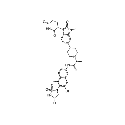 C[C@@H](C(=O)Nc1ccc2c(F)c(N3CC(=O)NS3(=O)=O)c(O)cc2c1)N1CCC(c2ccc3c(c2)n(C)c(=O)n3C2CCC(=O)NC2=O)CC1